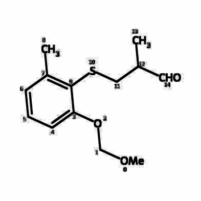 COCOc1cccc(C)c1SCC(C)C=O